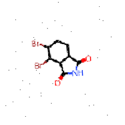 O=C1NC(=O)C2C1CCC(Br)C2Br